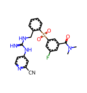 CN(C)C(=O)c1cc(F)cc(S(=O)(=O)c2ccccc2CNC(=N)Nc2ccnc(C#N)c2)c1